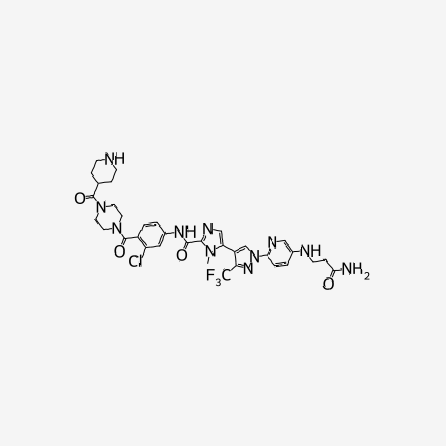 Cn1c(-c2cn(-c3ccc(NCCC(N)=O)cn3)nc2C(F)(F)F)cnc1C(=O)Nc1ccc(C(=O)N2CCN(C(=O)C3CCNCC3)CC2)c(Cl)c1